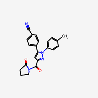 Cc1ccc(-n2nc(C(=O)N3CC[CH]C3=O)cc2-c2ccc(C#N)cc2)cc1